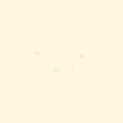 CCC(=CC=O)CCC=C(C)C